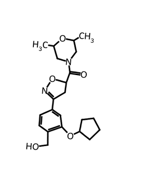 CC1CN(C(=O)C2CC(c3ccc(CO)c(OC4CCCC4)c3)=NO2)CC(C)O1